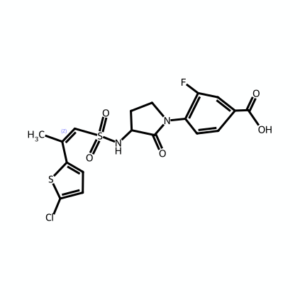 C/C(=C/S(=O)(=O)NC1CCN(c2ccc(C(=O)O)cc2F)C1=O)c1ccc(Cl)s1